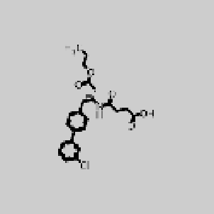 CCCOC(=O)C[C@@H](Cc1ccc(-c2cccc(Cl)c2)cc1)NC(=O)CCC(=O)O